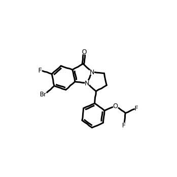 O=c1c2cc(F)c(Br)cc2n2n1CCC2c1ccccc1OC(F)F